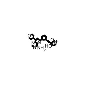 CN1CC[C@](O)(C#Cc2cccc(-c3cc(C4CCOCC4)c4ncnc(N)c4n3)c2)C1=O